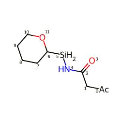 CC(=O)CC(=O)N[SiH2]C1CCCCO1